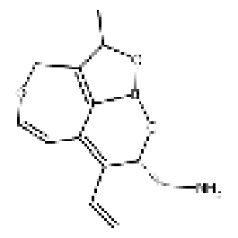 C=CC1=C2C=COCC3=C2B(OC3C)O[C@@H]1CN